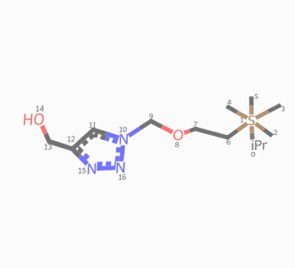 CC(C)S(C)(C)(C)(C)CCOCn1cc(CO)nn1